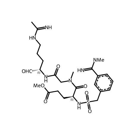 CNC(=N)c1cccc(CS(=O)(=O)N[C@@H](CCC(=O)OC)C(=O)N(C)CC(=O)N[C@H](C=O)CCCNC(C)=N)c1